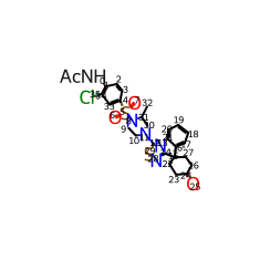 CC(=O)Nc1ccc(S(=O)(=O)N2CCN(c3nc(C4(c5ccccc5)CCC(=O)CC4)ns3)CC2C)cc1Cl